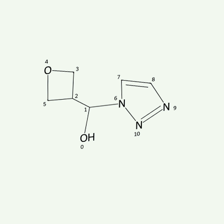 OC(C1COC1)n1ccnn1